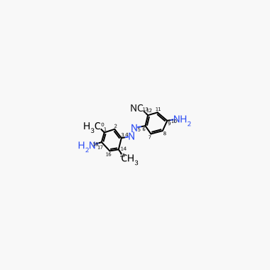 Cc1cc(/N=N/c2ccc(N)cc2C#N)c(C)cc1N